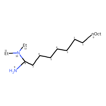 CCCCCCCCCCCCCC[CH]C(N)N(CC)CC